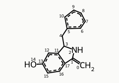 C=C1NC(Cc2ccccc2)c2cc(O)ccc21